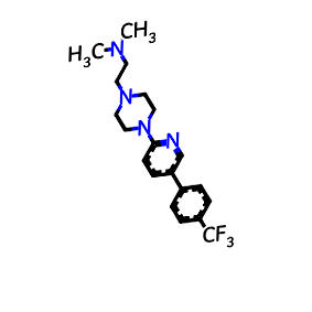 CN(C)CCN1CCN(c2ccc(-c3ccc(C(F)(F)F)cc3)cn2)CC1